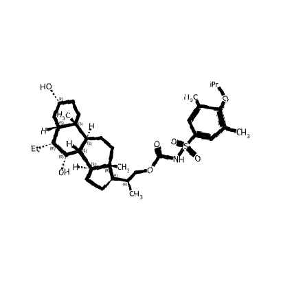 CC[C@H]1[C@@H](O)[C@@H]2[C@H](CC[C@]3(C)[C@@H]([C@H](C)COC(=O)NS(=O)(=O)c4cc(C)c(OC(C)C)c(C)c4)CC[C@@H]23)[C@@]2(C)CC[C@@H](O)C[C@@H]12